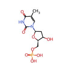 Cc1cn([C@H]2CC(O)[C@@H](COP(=O)(O)O)O2)c(=O)[nH]c1=O